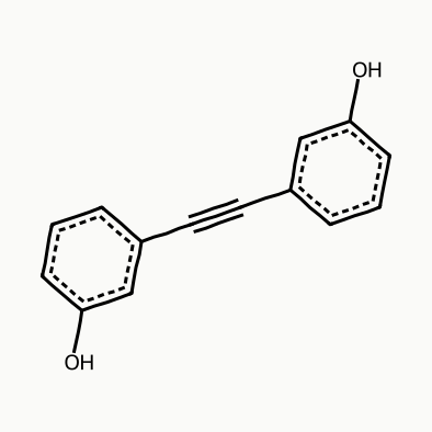 Oc1cccc(C#Cc2cccc(O)c2)c1